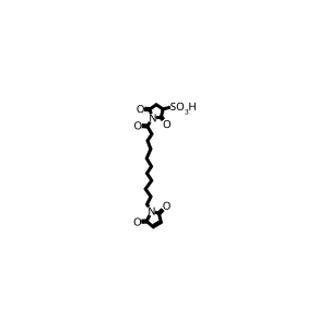 O=C1C=CC(=O)N1CCCCCCCCCCC(=O)N1C(=O)CC(S(=O)(=O)O)C1=O